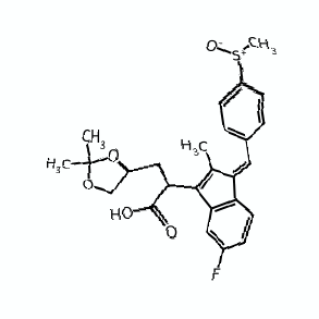 CC1=C(C(CC2COC(C)(C)O2)C(=O)O)c2cc(F)ccc2C1=Cc1ccc([S+](C)[O-])cc1